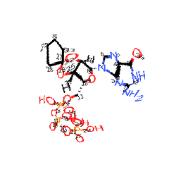 Nc1nc2c(ncn2[C@@H]2O[C@H](COP(=O)(O)OP(=O)(O)OP(=O)(O)O)[C@@H]3OC4(CCCC4)O[C@@H]32)c(=O)[nH]1